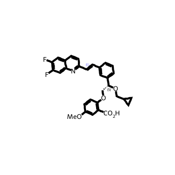 COc1ccc(OC[C@@H](OCC2CC2)c2cccc(/C=C/c3ccc4cc(F)c(F)cc4n3)c2)c(C(=O)O)c1